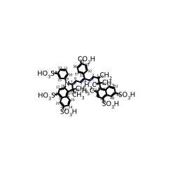 C=C(/C=C/C(=C/C=C1/N(c2cccc(S(=O)(=O)O)c2)c2cc(S(=O)(=O)O)c3cc(S(=O)(=O)O)ccc3c2C1(C)C)c1ccc(C(=O)O)cc1)C(C)(C)c1c(C)cc(S(=O)(=O)O)c2cc(S(=O)(=O)O)ccc12